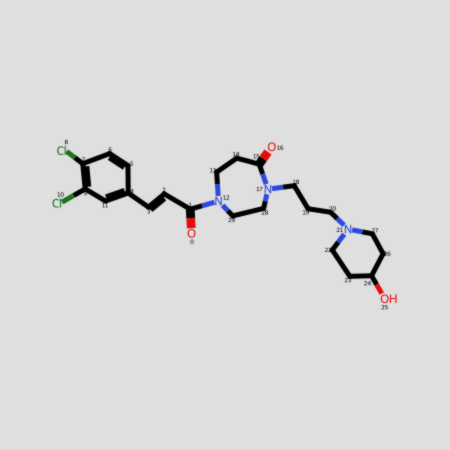 O=C(C=Cc1ccc(Cl)c(Cl)c1)N1CCC(=O)N(CCCN2CCC(O)CC2)CC1